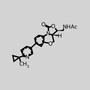 CC(=O)NC[C@@H]1OC(=O)N2c3ccc(-c4ccc(C5(C)CC5)nc4)cc3OC[C@@H]12